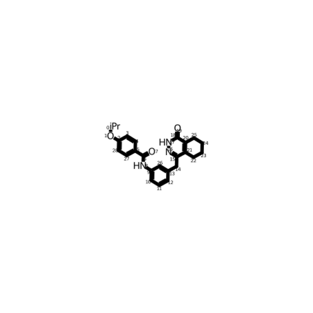 CC(C)Oc1ccc(C(=O)Nc2cccc(Cc3n[nH]c(=O)c4c3CCCC4)c2)cc1